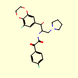 O=C(NC(CN1CCCC1)C(O)c1cc(F)c2c(c1)OCCO2)C(=O)c1ccc(F)cc1